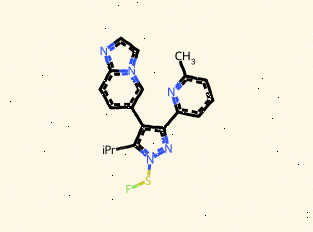 Cc1cccc(-c2nn(SF)c(C(C)C)c2-c2ccc3nccn3c2)n1